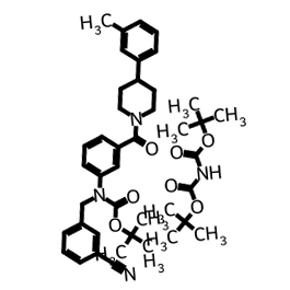 CC(C)(C)OC(=O)NC(=O)OC(C)(C)C.Cc1cccc(C2CCN(C(=O)c3cccc(N(Cc4cccc(C#N)c4)C(=O)OC(C)(C)C)c3)CC2)c1